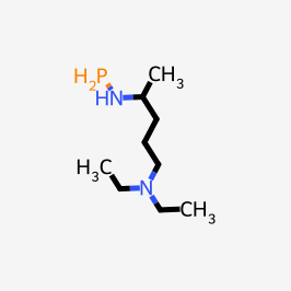 CCN(CC)CCCC(C)NP